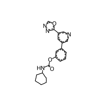 O=C(NC1CCCCC1)Oc1cccc(-c2cncc(-c3nnco3)c2)c1